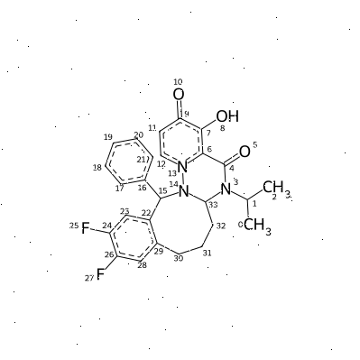 CC(C)N1C(=O)c2c(O)c(=O)ccn2N2C(c3ccccc3)c3cc(F)c(F)cc3CCCC12